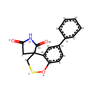 O=C1CC2(CSOc3ccc(-c4ccccc4)cc32)C(=O)N1